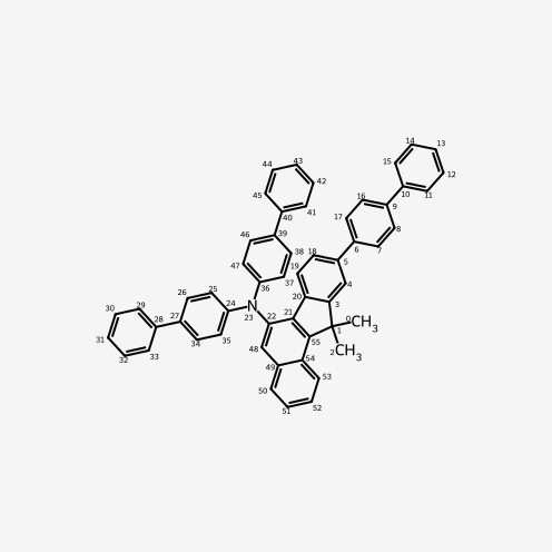 CC1(C)c2cc(-c3ccc(-c4ccccc4)cc3)ccc2-c2c(N(c3ccc(-c4ccccc4)cc3)c3ccc(-c4ccccc4)cc3)cc3ccccc3c21